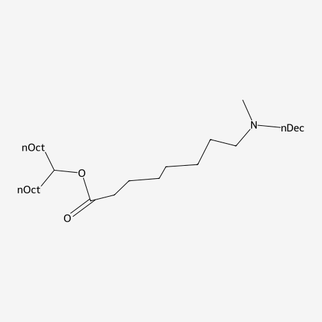 CCCCCCCCCCN(C)CCCCCCCC(=O)OC(CCCCCCCC)CCCCCCCC